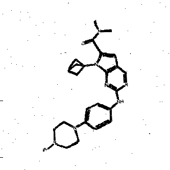 CC(C)N1CCN(c2ccc(Nc3ncc4cc(C(=O)N(C)C)n(C56CC(C5)C6)c4n3)cc2)CC1